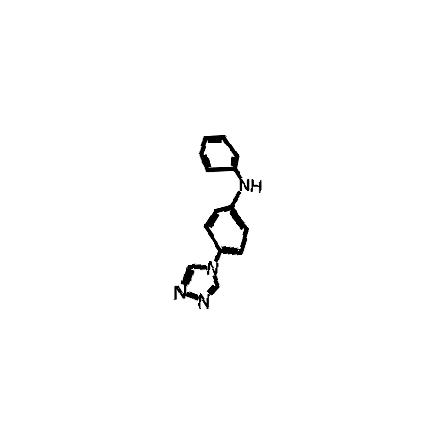 c1ccc(Nc2ccc(-n3cnnc3)cc2)cc1